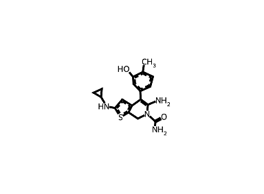 Cc1ccc(C2=C(N)N(C(N)=O)Cc3sc(NC4CC4)cc32)cc1O